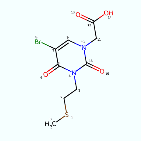 CSCCn1c(=O)c(Br)cn(CC(=O)O)c1=O